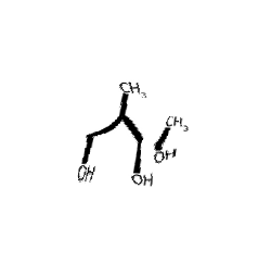 CC(CO)CO.CO